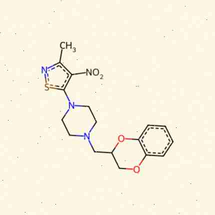 Cc1nsc(N2CCN(CC3COc4ccccc4O3)CC2)c1[N+](=O)[O-]